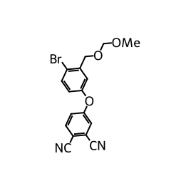 COCOCc1cc(Oc2ccc(C#N)c(C#N)c2)ccc1Br